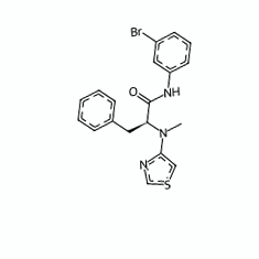 CN(c1cscn1)[C@@H](Cc1ccccc1)C(=O)Nc1cccc(Br)c1